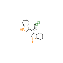 C[SiH](C)[Zr+2]([CH]1CPC2=CC=CCC21)[CH]1CPC2=CC=CCC21.[Cl-].[Cl-]